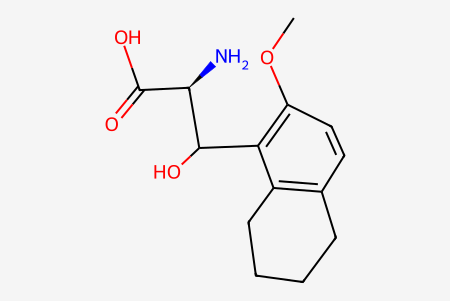 COc1ccc2c(c1C(O)[C@H](N)C(=O)O)CCCC2